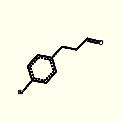 O=[C]CCc1ccc(Br)cc1